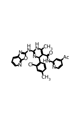 CC(=O)c1ccnc(NC(=O)C2=C(C)NC(Nc3nc4cccnc4o3)=NC2c2ccc(C)cc2Cl)c1